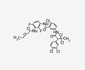 CCOCC(=O)Nc1c(F)ccc(NC(=O)c2cc(NC(=O)[C@H](c3ccc(Cl)c(Cl)c3)C(C)(Cl)Cl)ccc2Cl)c1F